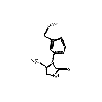 COCc1cccc(N2C(=O)NC[C@H]2C)c1